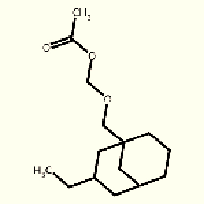 CCC1CC2CCCC(COCOC(C)=O)(C1)C2